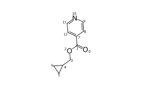 O=C(OCC1CC1)c1ccncc1